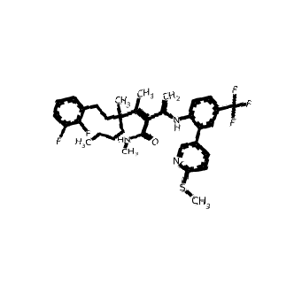 C=C(Nc1ccc(C(F)(F)F)cc1-c1ccc(SC)nc1)/C(C(=O)NC)=C(\C)C(C)(CCCC)CCc1cccc(F)c1F